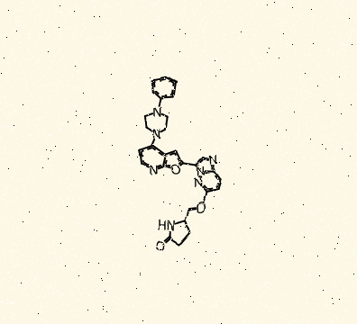 O=C1CC[C@H](COc2ccc3ncc(-c4cc5c(N6CCN(c7ccccc7)CC6)ccnc5o4)n3n2)N1